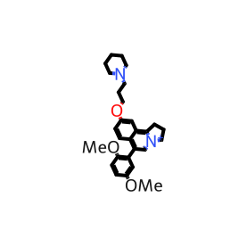 COc1ccc(OC)c(-c2c[n+]3c(c4cc(OCCCN5CCCCC5)ccc24)CCC3)c1